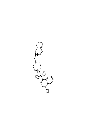 O=S(=O)(c1ccc(Cl)c2ccccc12)N1CCC(CN2CCc3ccccc3C2)CC1